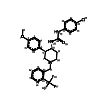 COc1ccc([C@@H]2CN(Cc3cccnc3C(F)(F)F)CC[C@H]2NC(=O)Nc2ccc(Cl)cc2)cc1